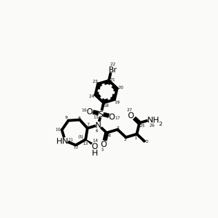 CC(C[CH]C(=O)N(C1CCCNC[C@@H]1O)S(=O)(=O)c1ccc(Br)cc1)C(N)=O